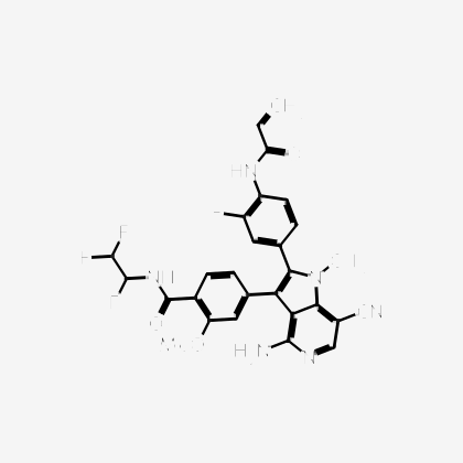 C=CC(=O)Nc1ccc(-c2c(-c3ccc(C(=O)NC(F)C(F)F)c(OC)c3)c3c(N)ncc(C#N)c3n2C)cc1F